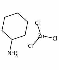 [Cl][Zn-]([Cl])[Cl].[NH3+]C1CCCCC1